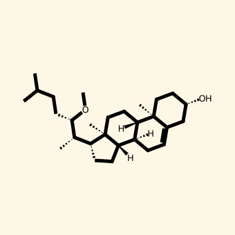 CO[C@@H](CCC(C)C)[C@@H](C)[C@H]1CC[C@H]2[C@@H]3CC=C4C[C@@H](O)CC[C@]4(C)[C@H]3CC[C@]12C